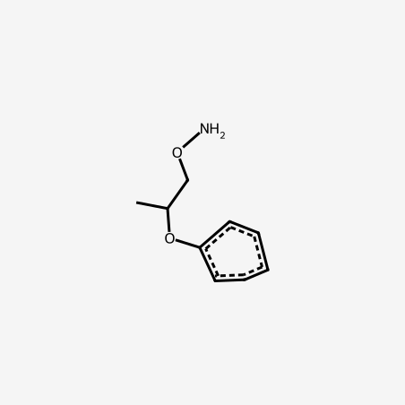 CC(CON)Oc1ccccc1